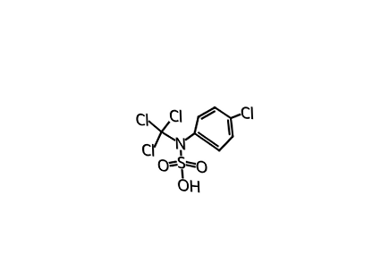 O=S(=O)(O)N(c1ccc(Cl)cc1)C(Cl)(Cl)Cl